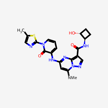 CNc1cc(Nc2cccn(-c3ncc(C)s3)c2=O)nc2c(C(=O)N[C@@H]3CC[C@H]3O)cnn12